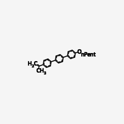 C=C(C)c1ccc(-c2ccc(-c3ccc(OCCCCC)cc3)cc2)cc1